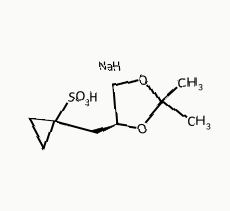 CC1(C)OC[C@H](CC2(S(=O)(=O)O)CC2)O1.[NaH]